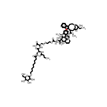 CCCC(=O)N[C@@H](CNC(=O)CCCCCCCCO[C@@H]1OC(CO)C(O)[C@H](O)C1O)C(=O)N[C@H](CSSCCOC(=O)NNC(=O)[C@@]1(O)[C@H](O)[C@]2(CC)C=CCN3CC[C@@]4(c5cc([C@@]6(C(=O)OC)C[C@@H]7CN(CCc8c6[nH]c6ccccc86)C[C@](O)(CC)C7)c(OC)cc5N(C)[C@@H]14)[C@@H]32)C(=O)O